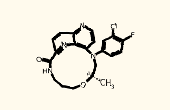 C[C@H]1CN(c2ccc(F)c(Cl)c2)c2ccnc3ccc(nc23)C(=O)NCCCO1